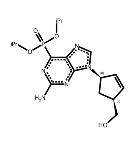 CC(C)OP(=O)(OC(C)C)c1nc(N)nc2c1ncn2[C@H]1C=C[C@@H](CO)C1